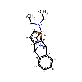 CCN(CC)CCN1C2c3ccccc3C1c1sccc12